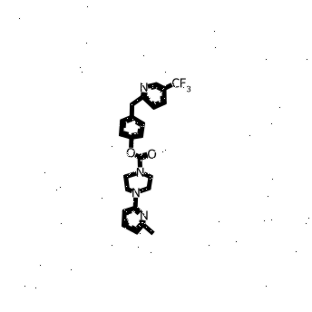 Cc1cccc(N2CCN(C(=O)Oc3ccc(Cc4ccc(C(F)(F)F)cn4)cc3)CC2)n1